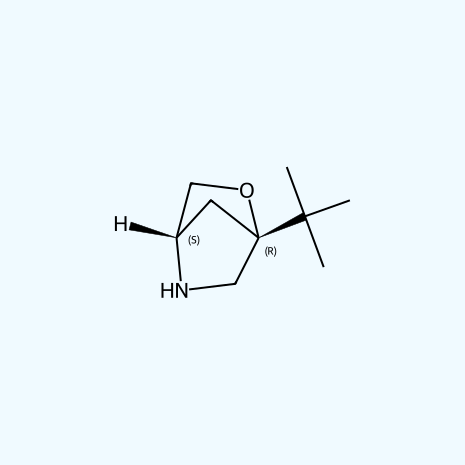 CC(C)(C)[C@]12CN[C@H](CO1)C2